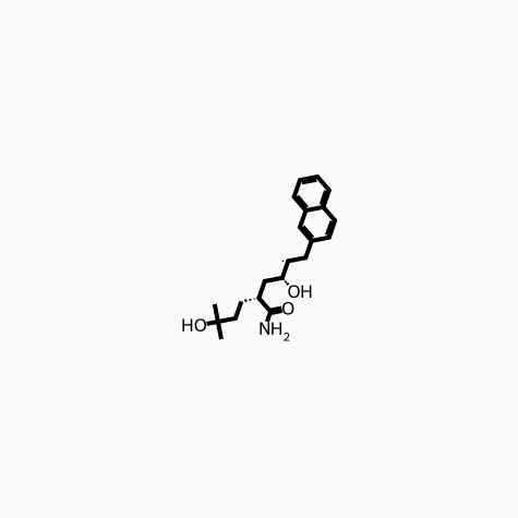 CC(C)(O)CC[C@H](C[C@@H](O)[CH]Cc1ccc2ccccc2c1)C(N)=O